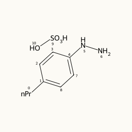 CCCc1ccc(NN)cc1.O=S(=O)(O)O